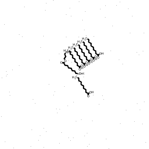 CCCCCCCCCC(=O)O.CCCCCCCCCC(=O)O.CCCCCCCCCC(=O)O.CCCCCCCCCC(=O)O.CCCCCCCCCC(=O)O.CCCCCCCCCC(=O)O.CCCCCCCCCCCCCCCCCC(=O)OCCCCCCCCCCCCC